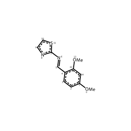 COc1ccc(C=Nc2nccs2)c(OC)c1